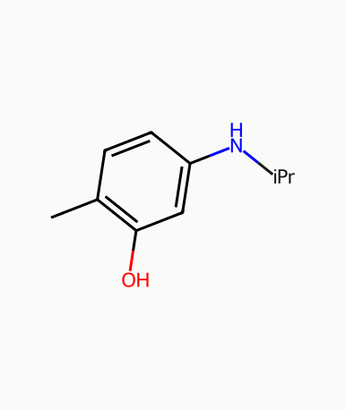 Cc1ccc(NC(C)C)cc1O